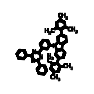 Cc1cc(C)c(-c2ccc3c4ccc(-c5c(C)cc(C)cc5C)cc4n(-c4cccc(-c5nc(-c6ccccc6)nc(-c6ccccc6)n5)c4)c3c2)c(C)c1